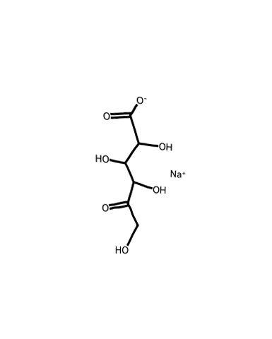 O=C([O-])C(O)C(O)C(O)C(=O)CO.[Na+]